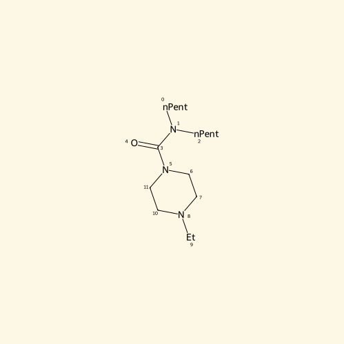 CCCCCN(CCCCC)C(=O)N1CCN(CC)CC1